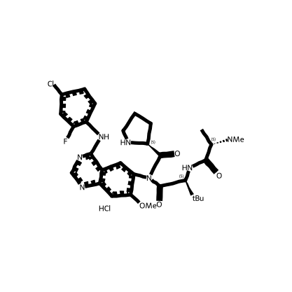 CN[C@@H](C)C(=O)N[C@H](C(=O)N(C(=O)[C@@H]1CCCN1)c1cc2c(Nc3ccc(Cl)cc3F)ncnc2cc1OC)C(C)(C)C.Cl